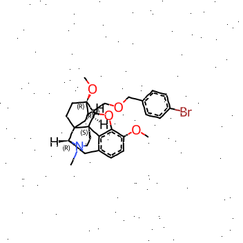 COc1ccc2c3c1O[C@H]1[C@@]4(OC)CCC5(C[C@@H]4COCc4ccc(Br)cc4)[C@@H](C2)N(C)CC[C@]315